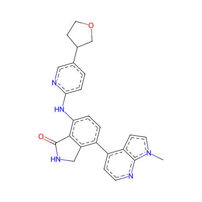 Cn1ccc2c(-c3ccc(Nc4ccc(C5CCOC5)cn4)c4c3CNC4=O)ccnc21